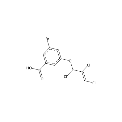 O=C(O)c1cc(Br)cc(OC(Cl)C(Cl)=CCl)c1